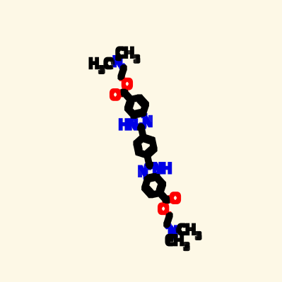 CN(C)CCOC(=O)c1ccc2nc(-c3ccc(-c4nc5ccc(C(=O)OCCN(C)C)cc5[nH]4)cc3)[nH]c2c1